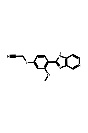 COc1cc(SCC#N)ccc1-c1nc2cnccc2[nH]1